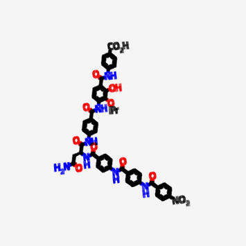 CC(C)Oc1c(NC(=O)c2ccc(NC(=O)[C@H](CC(N)=O)NC(=O)c3ccc(NC(=O)c4ccc(NC(=O)c5ccc([N+](=O)[O-])cc5)cc4)cc3)cc2)ccc(C(=O)Nc2ccc(C(=O)O)cc2)c1O